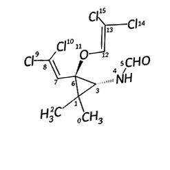 CC1(C)[C@@H](NC=O)[C@]1(C=C(Cl)Cl)OC=C(Cl)Cl